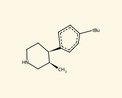 C[C@H]1CNCC[C@H]1c1ccc(C(C)(C)C)cc1